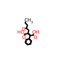 CCCC(=O)C/C(C(=O)O)=C(\C(=O)O)c1ccccc1